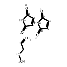 C=CCOC#N.O=C1C=CC(=O)N1.O=C1C=CC(=O)N1